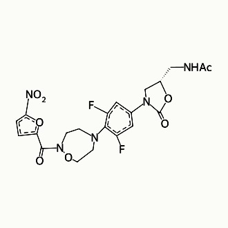 CC(=O)NC[C@H]1CN(c2cc(F)c(N3CCON(C(=O)c4ccc([N+](=O)[O-])o4)CC3)c(F)c2)C(=O)O1